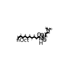 CCCCCCCC/C=C\CCCCCCCC(=O)NS(=O)(=O)CCCN(C)C